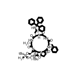 C[C@@H]1NC(=O)[C@H](CC(=O)NC(c2ccccc2)(c2ccccc2)c2ccccc2)NC(=O)CNC(=O)[C@H](Cc2ccccc2)NC(=O)[C@@H]2CCCN2[C@@H](C(=O)NC(C)(C)C)[C@@H]2[C@@H](CO[Si](C)(C)C(C)(C)C)N2C1=O